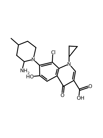 CC1CCN(c2c(O)cc3c(=O)c(C(=O)O)cn(C4CC4)c3c2Cl)C(N)C1